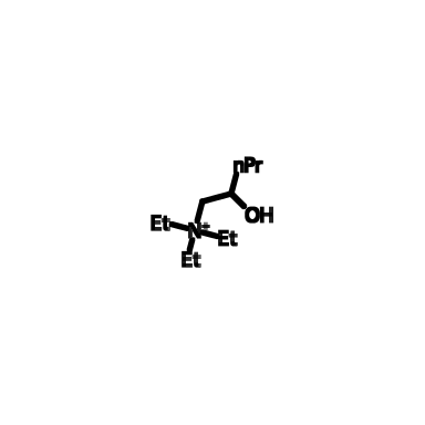 CCCC(O)C[N+](CC)(CC)CC